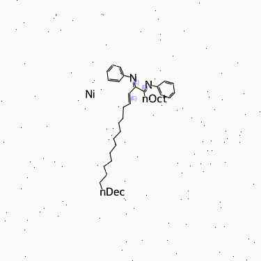 CCCCCCCCCCCCCCCCCCCCC/C=C/C(=N\c1ccccc1)C(/CCCCCCCC)=N/c1ccccc1.[Ni]